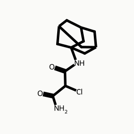 NC(=O)C(Cl)C(=O)NC12CC3CC(CC(C3)C1)C2